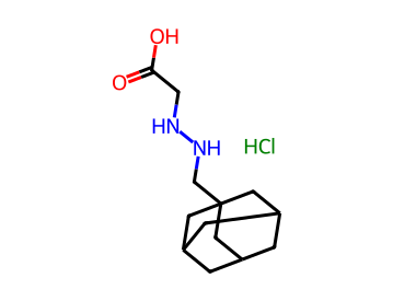 Cl.O=C(O)CNNCC12CC3CC(CC(C3)C1)C2